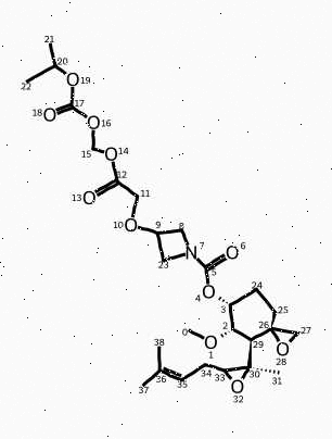 CO[C@@H]1[C@H](OC(=O)N2CC(OCC(=O)OCOC(=O)OC(C)C)C2)CC[C@]2(CO2)[C@H]1[C@@]1(C)OC1CC=C(C)C